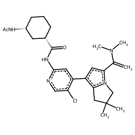 C=C(c1cc(-c2cc(NC(=O)[C@H]3CCC[C@@H](NC(C)=O)C3)ncc2Cl)c2n1CC(C)(C)C2)N(C)C